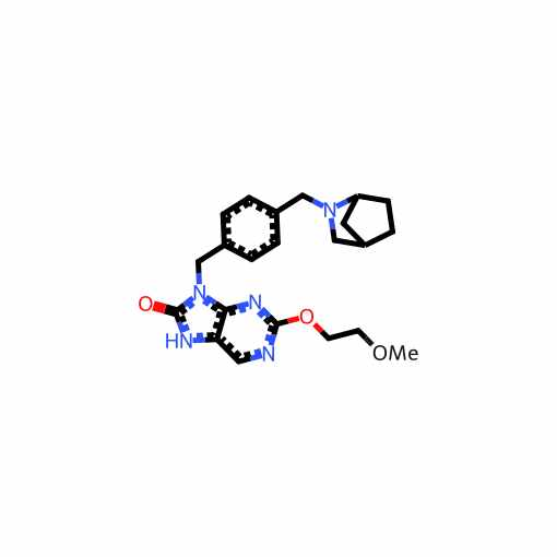 COCCOc1ncc2[nH]c(=O)n(Cc3ccc(CN4CC5CCC4C5)cc3)c2n1